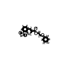 CC(=O)/C(=C\c1cccc(S(C)(=O)=O)c1)C(=O)OCCOc1ccccc1